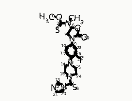 COC(=S)N(C)C1CN(c2ccc(N3CCN(C(=S)n4ccnc4)CC3)c(F)c2)C(=O)O1